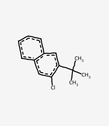 CC(C)(C)c1cc2ccccc2cc1Cl